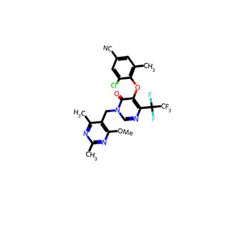 COc1nc(C)nc(C)c1Cn1cnc(C(F)(F)C(F)(F)F)c(Oc2c(C)cc(C#N)cc2Cl)c1=O